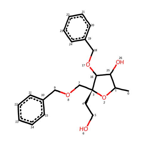 CC1O[C@](CCO)(COCc2ccccc2)C(OCc2ccccc2)C1O